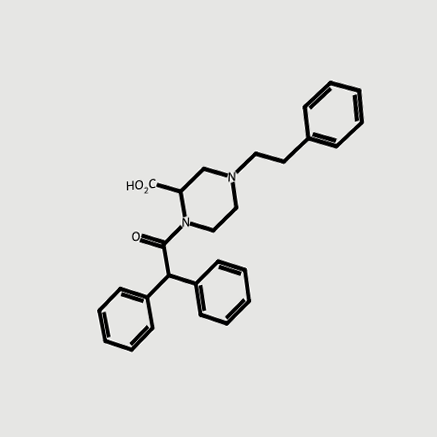 O=C(O)C1CN(CCc2ccccc2)CCN1C(=O)C(c1ccccc1)c1ccccc1